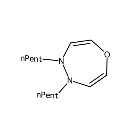 CCCCCn1ccoccn1CCCCC